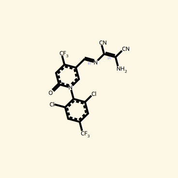 N#C/C(N)=C(C#N)/N=C/c1cn(-c2c(Cl)cc(C(F)(F)F)cc2Cl)c(=O)cc1C(F)(F)F